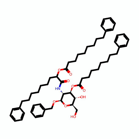 O=C(CCCCCCCCc1ccccc1)OC(CCCCCCCc1ccccc1)C(=O)N[C@H]1[C@H](OCc2ccccc2)O[C@H](CO)[C@@H](O)[C@@H]1OC(=O)CCCCCCCCc1ccccc1